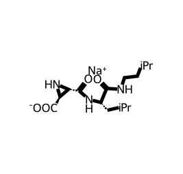 CC(C)CCNC(=O)[C@H](CC(C)C)NC(=O)[C@H]1N[C@@H]1C(=O)[O-].[Na+]